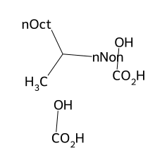 CCCCCCCCCC(C)CCCCCCCC.O=C(O)O.O=C(O)O